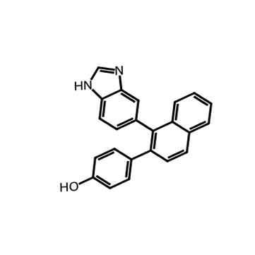 Oc1ccc(-c2ccc3ccccc3c2-c2ccc3[nH]cnc3c2)cc1